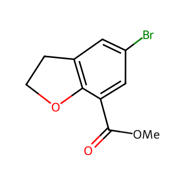 COC(=O)c1cc(Br)cc2c1OCC2